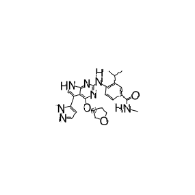 CNC(=O)c1ccc(Nc2nc(O[C@H]3CCOC3)c3c(-c4ccnn4C)c[nH]c3n2)c(C(C)C)c1